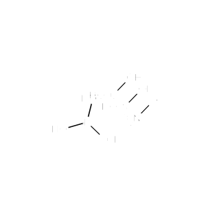 O=C(O)O.O=S(=O)(O)O.O=[N+]([O-])O.OP(O)O